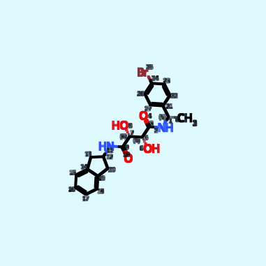 C[C@H](NC(=O)[C@H](O)[C@@H](O)C(=O)NC1Cc2ccccc2C1)c1ccc(Br)cc1